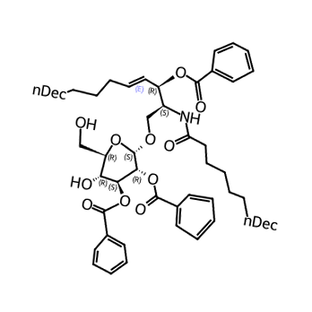 CCCCCCCCCCCCC/C=C/[C@@H](OC(=O)c1ccccc1)[C@H](CO[C@H]1O[C@H](CO)[C@@H](O)[C@H](OC(=O)c2ccccc2)[C@H]1OC(=O)c1ccccc1)NC(=O)CCCCCCCCCCCCCCC